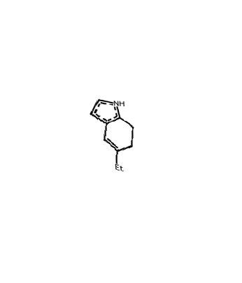 CCC1=Cc2cc[nH]c2CC1